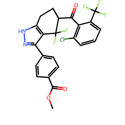 COC(=O)c1ccc(-c2n[nH]c3c2C(F)(F)C(C(=O)c2c(Cl)cccc2C(F)(F)F)CC3)cc1